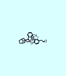 COc1cc(CC=O)ccc1OCCCN1C2CCC1CC(c1n[nH]c3ccccc13)C2